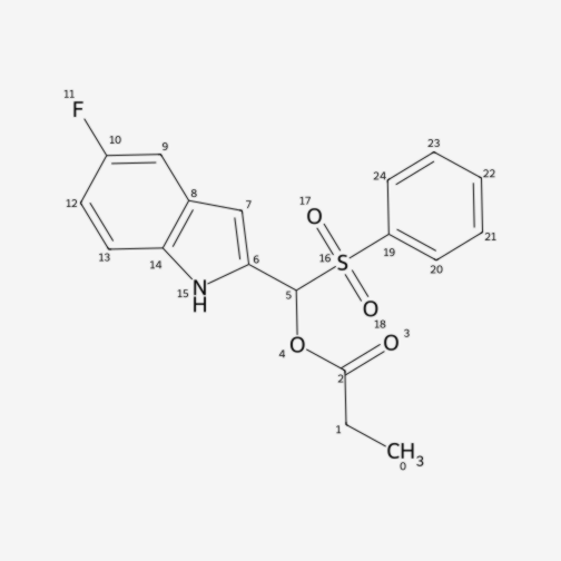 CCC(=O)OC(c1cc2cc(F)ccc2[nH]1)S(=O)(=O)c1ccccc1